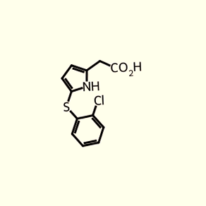 O=C(O)Cc1ccc(Sc2ccccc2Cl)[nH]1